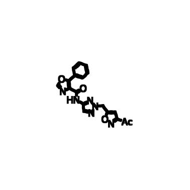 CC(=O)c1cc(Cn2ncc(NC(=O)c3ncoc3-c3ccccc3)n2)on1